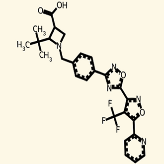 CC(C)(C)C1C(C(=O)O)CN1Cc1ccc(-c2noc(-c3noc(-c4ccccn4)c3C(F)(F)F)n2)cc1